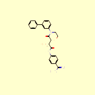 N=C(N)c1ccc(NC(=O)[C@H](O)[C@H]2OCCN(c3cccc(-c4ccccc4)c3)C2=O)cc1